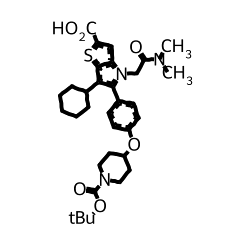 CN(C)C(=O)Cn1c(-c2ccc(OC3CCN(C(=O)OC(C)(C)C)CC3)cc2)c(C2CCCCC2)c2sc(C(=O)O)cc21